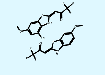 COc1c[c]([Co])c2c(c1)SC(=CC(=O)C(F)(F)F)N2.COc1ccc2c(c1)SC(=CC(=O)C(F)(F)F)N2